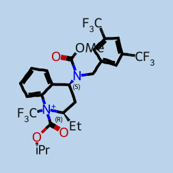 CC[C@@H]1C[C@H](N(Cc2cc(C(F)(F)F)cc(C(F)(F)F)c2)C(=O)OC)c2ccccc2[N+]1(C(=O)OC(C)C)C(F)(F)F